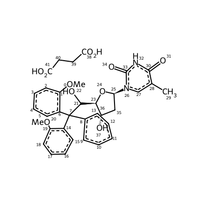 COc1ccccc1C(c1ccccc1)(c1ccccc1OC)C(O)[C@H]1O[C@@H](n2cc(C)c(=O)[nH]c2=O)C[C@@H]1O.O=C(O)CCC(=O)O